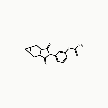 CC(=O)Oc1cccc(N2C(=O)C3CC4CC4CC3C2=O)c1